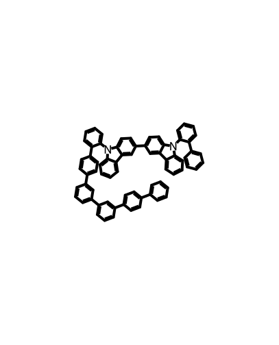 c1ccc(-c2ccc(-c3cccc(-c4cccc(-c5ccc(-c6ccccc6-n6c7ccccc7c7cc(-c8ccc9c(c8)c8ccccc8n9-c8ccccc8-c8ccccc8)ccc76)cc5)c4)c3)cc2)cc1